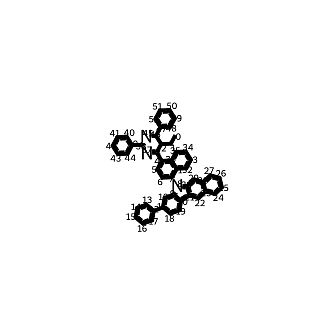 CCC1C(c2ccc(-n3c4cc(-c5ccccc5)ccc4c4cc5ccccc5cc43)c3ccccc23)=NC(c2ccccc2)=NC1c1ccccc1